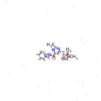 Cc1nc(CO[Si](C)(C)C(C)(C)C)cc(C(=O)NCc2ccccc2)n1